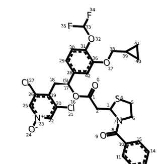 O=C(CC1SCCN1C(=O)c1ccccc1)O[C@@H](Cc1c(Cl)c[n+]([O-])cc1Cl)c1ccc(OC(F)F)c(OCC2CC2)c1